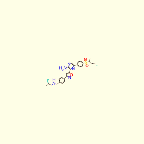 CC(F)CNCc1ccc(-c2cc(-c3nc(-c4ccc(S(=O)(=O)C(C)CCF)cc4)cnc3N)on2)cc1